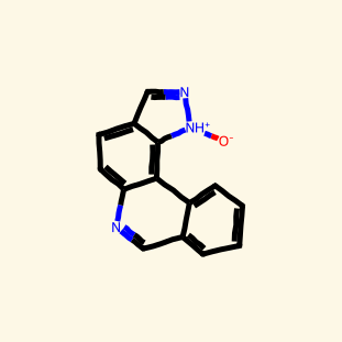 [O-][NH+]1N=Cc2ccc3ncc4ccccc4c3c21